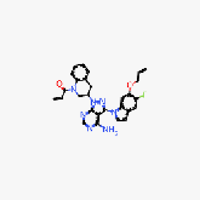 C=CCOc1cc2c(ccn2-c2nn(C3Cc4ccccc4N(C(=O)C=C)C3)c3ncnc(N)c23)cc1F